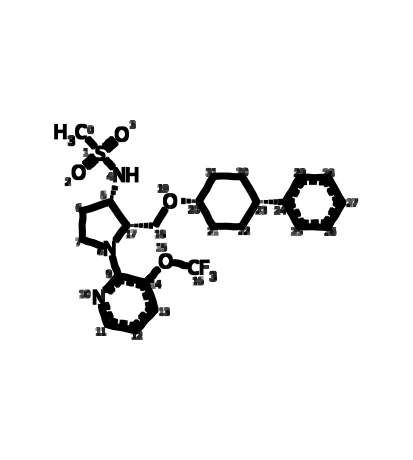 CS(=O)(=O)N[C@H]1CCN(c2ncccc2OC(F)(F)F)[C@H]1CO[C@H]1CC[C@@H](c2ccccc2)CC1